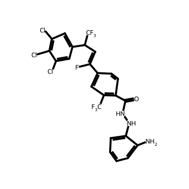 Nc1ccccc1NNC(=O)c1ccc(/C(F)=C/C(c2cc(Cl)c(Cl)c(Cl)c2)C(F)(F)F)cc1C(F)(F)F